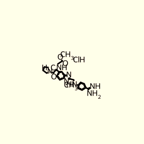 COC(=O)CNC(C)(C(=O)N1CCCC1)c1ccc2c(c1)nc(CNc1ccc(C(=N)N)cc1)n2C.Cl